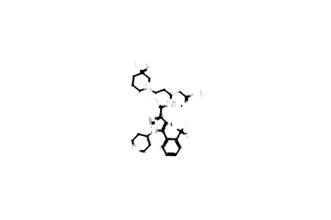 O=C(O)C[C@H](CCN1CCCC(F)(F)C1)NC(=O)c1cc(-c2ccccc2C(F)(F)F)n(C2CCOCC2)n1